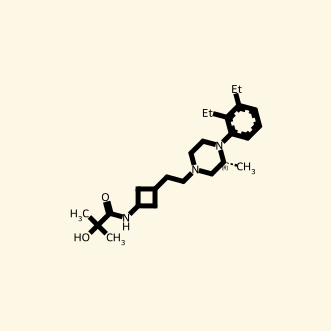 CCc1cccc(N2CCN(CCC3CC(NC(=O)C(C)(C)O)C3)C[C@H]2C)c1CC